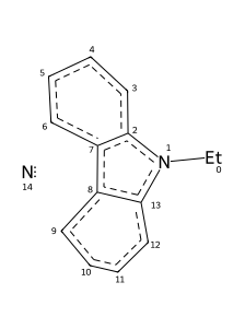 CCn1c2ccccc2c2ccccc21.[N]